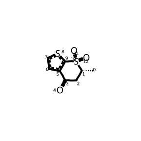 C[C@@H]1CC(=O)c2ccsc2S1(=O)=O